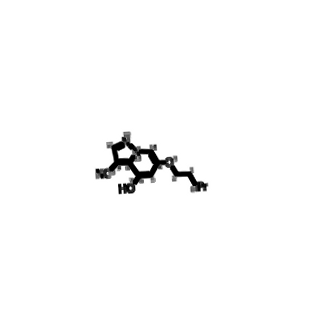 CC(C)CCOc1cc(O)c2c(C#N)cnn2c1